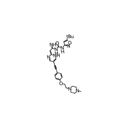 CN1CCN(CCOc2ccc(C#CC3=CN/C(=C\C(=N)NC(=O)Nc4cc(C(C)(C)C)on4)N=C3)cc2)CC1